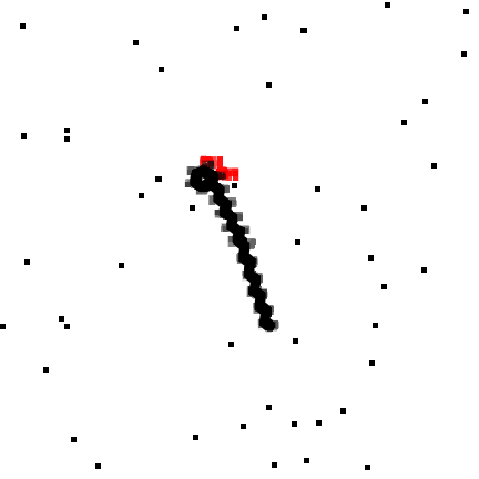 CCCCCCCCCCCCCCCCCCCc1cccc(O)c1O